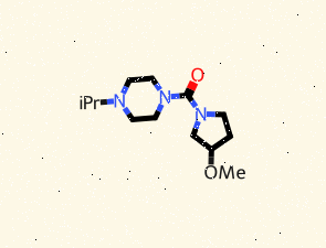 COC1CCN(C(=O)N2CCN(C(C)C)CC2)C1